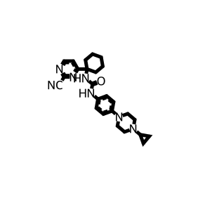 N#Cc1nccc(C2(NC(=O)Nc3ccc(N4CCN(C5CC5)CC4)cc3)CCCCC2)n1